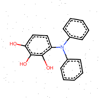 Oc1ccc(N(c2ccccc2)c2ccccc2)c(O)c1O